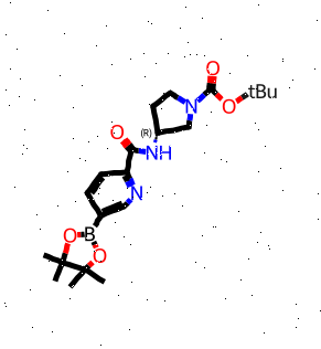 CC(C)(C)OC(=O)N1CC[C@@H](NC(=O)c2ccc(B3OC(C)(C)C(C)(C)O3)cn2)C1